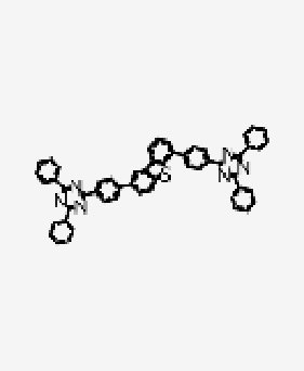 c1ccc(-c2nc(-c3ccccc3)nc(-c3ccc(-c4ccc5sc6c(-c7ccc(-c8nc(-c9ccccc9)nc(-c9ccccc9)n8)cc7)cccc6c5c4)cc3)n2)cc1